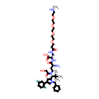 CNCCOCCOCCOCCOCCC(=O)NC[C@@H](NC(=O)[C@@H](N)CCN(C(=O)CO)[C@@H](c1cc(-c2cc(F)ccc2F)cn1Cc1ccccc1)C(C)(C)C)C(=O)O